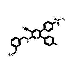 COc1cccc(CNc2nc(-c3ccc(F)cc3)c(-c3ccc(S(C)(=O)=O)cc3)cc2C#N)c1